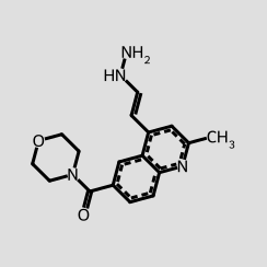 Cc1cc(/C=C/NN)c2cc(C(=O)N3CCOCC3)ccc2n1